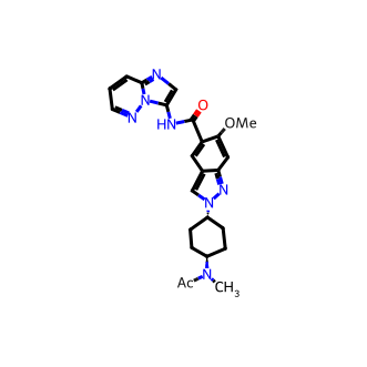 COc1cc2nn([C@H]3CC[C@H](N(C)C(C)=O)CC3)cc2cc1C(=O)Nc1cnc2cccnn12